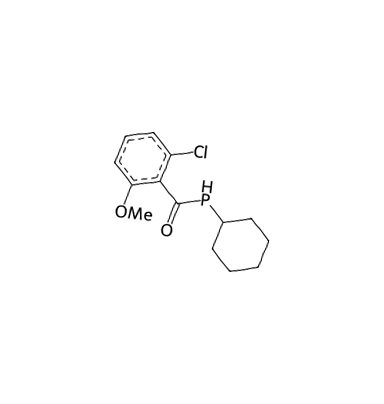 COc1cccc(Cl)c1C(=O)PC1CCCCC1